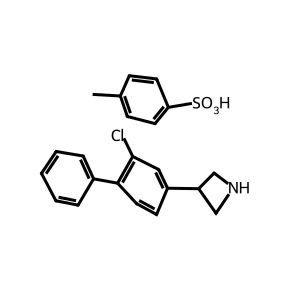 Cc1ccc(S(=O)(=O)O)cc1.Clc1cc(C2CNC2)ccc1-c1ccccc1